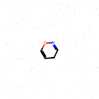 C1=CON=CC1